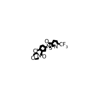 O=C(c1cc(-n2sc3nc(C(F)(F)F)ccc3c2=O)ccc1Cl)N1CCOCC1